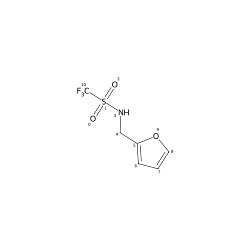 O=S(=O)(NCc1ccco1)C(F)(F)F